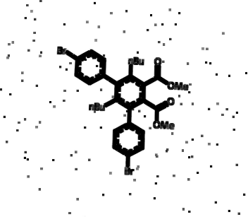 CCCCc1c(C(=O)OC)c(C(=O)OC)c(-c2ccc(Br)cc2)c(CCCC)c1-c1ccc(Br)cc1